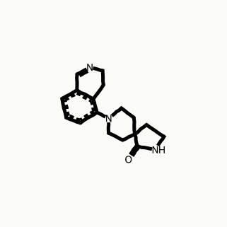 O=C1NCCC12CCN(c1cccc3c1CCN=C3)CC2